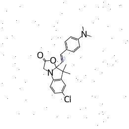 CN(C)c1ccc(/C=C/C23OC(=O)CN2c2ccc(Cl)cc2C3(C)C)cc1